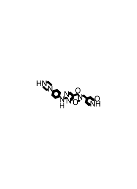 O=C1c2cnc(Nc3ccc(N4CCNCC4)cc3)nc2OCN1Cc1cc[nH]c(=O)c1